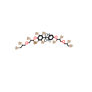 CC(C)(c1ccc(OC(Br)C(Br)COCC(Br)CBr)cc1)c1c(Br)c(Br)c(OC(Br)C(Br)COCC(Br)CBr)c(Br)c1Br